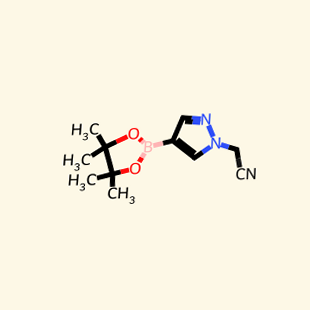 CC1(C)OB(c2cnn(CC#N)c2)OC1(C)C